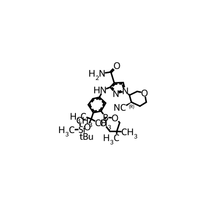 CC1(C)COB(c2cc(Nc3nn(C4COCC[C@H]4C#N)cc3C(N)=O)ccc2C(C)(C)O[Si](C)(C)C(C)(C)C)OC1